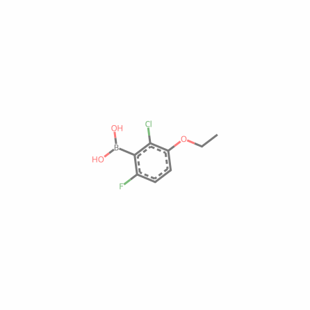 CCOc1ccc(F)c(B(O)O)c1Cl